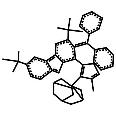 CC1=CCC(c2c3c(cc(C(C)(C)C)c2=C(c2ccccc2)c2ccccc2)=c2cc(C(C)(C)C)ccc2=[C]3)=C1C12CC3CC(CC(C3)C1)C2